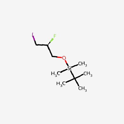 CC(C)(C)[Si](C)(C)OC[C@H](F)CI